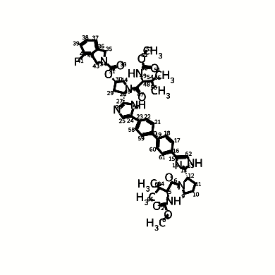 COC(=O)N[C@H](C(=O)N1CCC[C@H]1c1nc(-c2ccc(-c3ccc(-c4cnc([C@@H]5C[C@@H](OC(=O)N6Cc7cccc(F)c7C6)CN5C(=O)[C@@H](NC(=O)OC)C(C)C)[nH]4)cc3)cc2)c[nH]1)C(C)C